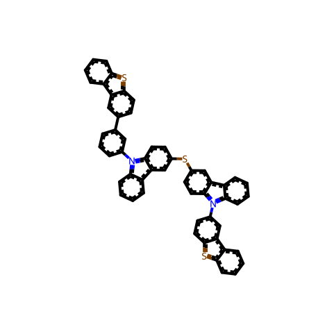 c1cc(-c2ccc3sc4ccccc4c3c2)cc(-n2c3ccccc3c3cc(Sc4ccc5c(c4)c4ccccc4n5-c4ccc5sc6ccccc6c5c4)ccc32)c1